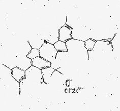 COc1c(C(C)(C)C)cc2c(c1-c1cc(C)cc(C)c1)C=C(C)C2[N-]C1C(C)=Cc2c(-c3cc(C)cc(C=[Si](C)C)c3)cc(C)cc21.[Cl-].[Cl-].[Zr+3]